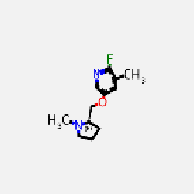 Cc1cc(OC[C@H]2CCCN2C)cnc1F